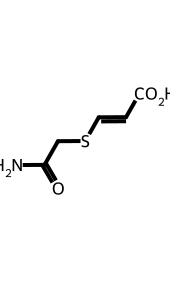 NC(=O)CSC=CC(=O)O